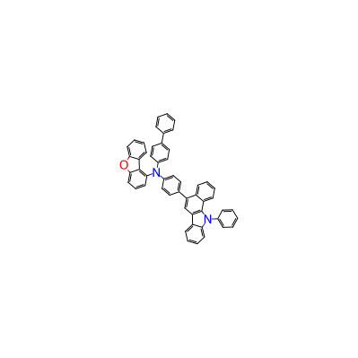 c1ccc(-c2ccc(N(c3ccc(-c4cc5c6ccccc6n(-c6ccccc6)c5c5ccccc45)cc3)c3cccc4oc5ccccc5c34)cc2)cc1